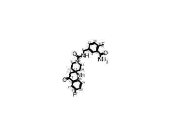 NC(=O)c1cc(CNC(=O)N2CCC3(CC2)CC(=O)c2cc(F)ccc2N3)ccc1F